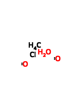 C.O.[C].[O].[O]